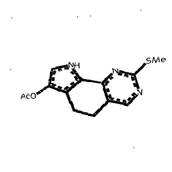 CSc1ncc2c(n1)-c1[nH]cc(OC(C)=O)c1CC2